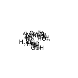 CCc1cn2c(N)c(Cl)cc(C(=O)NCC3CCN(CC(O)CC)CC3)c2n1.O=C(O)C(=O)O